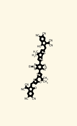 CCn1nc2c(-c3cc4c(s3)-c3sc(/C=C5\C(=O)c6cc(C#N)c(C#N)cc6C5=C(C#N)C#N)cc3OC4(C)C)c3c(c(-c4cc5c(s4)-c4sc(/C=C6/C(=C(C#N)C#N)c7cc(C#N)c(C#N)cc7C6O)cc4C5(C)C)c2n1)N=S=N3